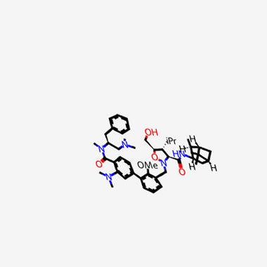 COc1c(CN2O[C@@H](CO)[C@H](C(C)C)[C@H]2C(=O)N[C@H]2C[C@H]3C[C@@H]([C@@H]2C)C3(C)C)cccc1-c1ccc(C(=O)N(C)[C@@H](Cc2ccccc2)CN(C)C)c(N(C)C)c1